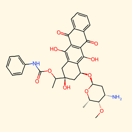 CO[C@@H]1[C@H](C)O[C@@H](O[C@H]2C[C@](O)(C(C)OC(=O)Nc3ccccc3)Cc3c(O)c4c(c(O)c32)C(=O)c2ccccc2C4=O)C[C@@H]1N